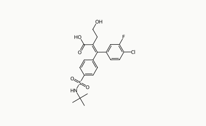 CC(C)(C)NS(=O)(=O)c1ccc(C(=C(CCO)C(=O)O)c2ccc(Cl)c(F)c2)cc1